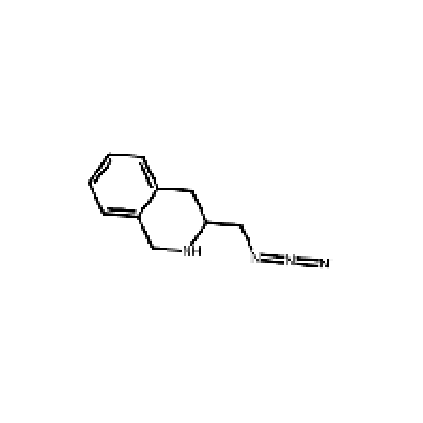 [N-]=[N+]=NCC1Cc2ccccc2CN1